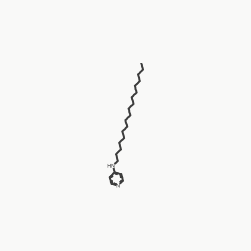 CCCCCCCCCCCCCCCCCCNc1ccncc1